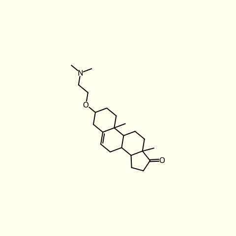 CN(C)CCOC1CCC2(C)C(=CCC3C4CCC(=O)C4(C)CCC32)C1